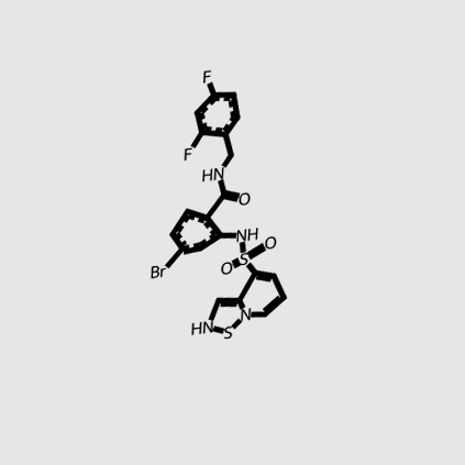 O=C(NCc1ccc(F)cc1F)c1ccc(Br)cc1NS(=O)(=O)C1=CC=CN2SNC=C12